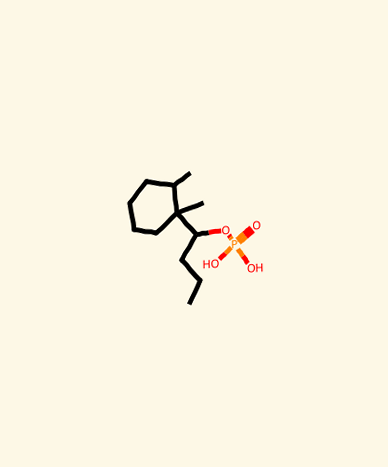 CCCC(OP(=O)(O)O)C1(C)CCCCC1C